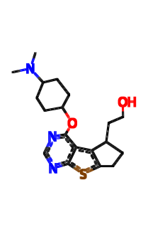 CN(C)C1CCC(Oc2ncnc3sc4c(c23)C(CCO)CC4)CC1